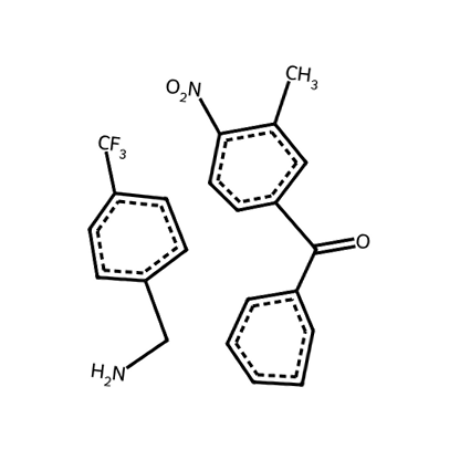 Cc1cc(C(=O)c2ccccc2)ccc1[N+](=O)[O-].NCc1ccc(C(F)(F)F)cc1